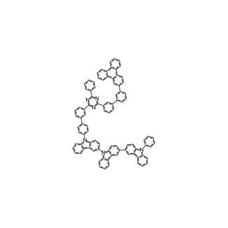 c1ccc(-c2nc(-c3cccc(-c4ccc(-n5c6ccccc6c6cc(-n7c8ccccc8c8cc(-c9ccc%10c(c9)c9ccccc9n%10-c9ccccc9)ccc87)ccc65)cc4)c3)nc(-c3cccc(-c4cccc(-c5ccc6c7ccccc7c7ccccc7c6c5)c4)c3)n2)cc1